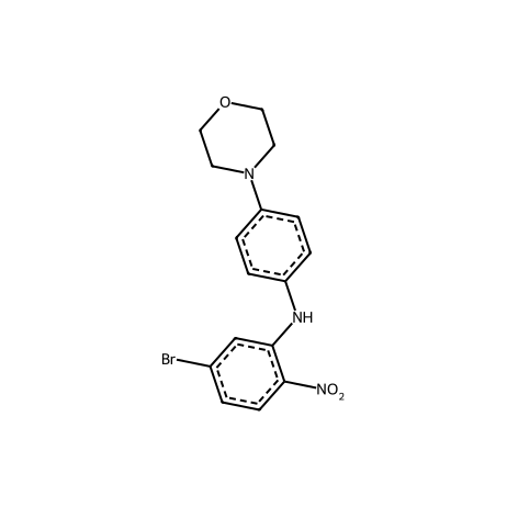 O=[N+]([O-])c1ccc(Br)cc1Nc1ccc(N2CCOCC2)cc1